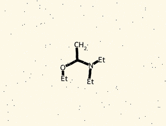 [CH2]C(OCC)N(CC)CC